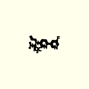 C=CCN(C(=O)N(C)C)c1ccc(-c2cncc(F)c2)nc1C(F)(F)F